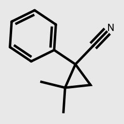 CC1(C)CC1(C#N)c1ccccc1